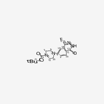 CC(C)(C)OC(=O)N1CCN(c2ccc3c(=O)[nH]nc(F)c3c2)CC1